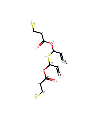 C=CC(OC(=O)CCS)SC(C=C)OC(=O)CCS